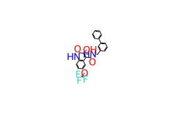 O=C(NCc1cccc(-c2ccccc2)c1)c1c(O)c(=O)[nH]c2ccc(OC(F)(F)F)cc12